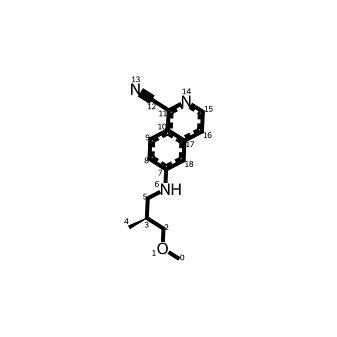 COC[C@@H](C)CNc1ccc2c(C#N)nccc2c1